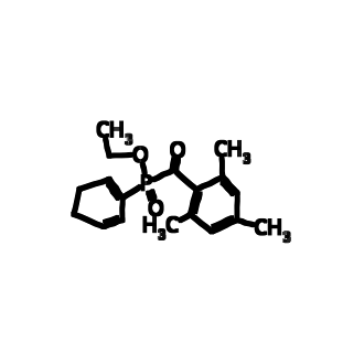 CCOP(=O)(C(=O)c1c(C)cc(C)cc1C)C1=CCCC=C1